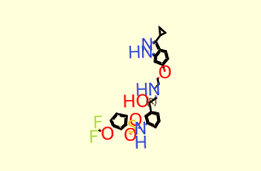 O=S(=O)(Nc1cccc([C@@H](O)CNCCOc2ccc3c(C4CC4)n[nH]c3c2)c1)c1cccc(OC(F)F)c1